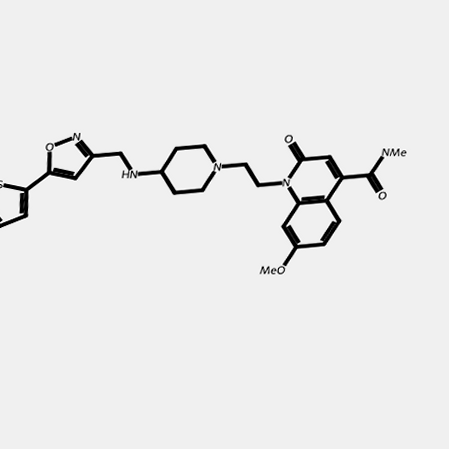 CNC(=O)c1cc(=O)n(CCN2CCC(NCc3cc(-c4cccs4)on3)CC2)c2cc(OC)ccc12